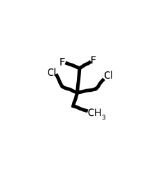 CCC(CCl)(CCl)C(F)F